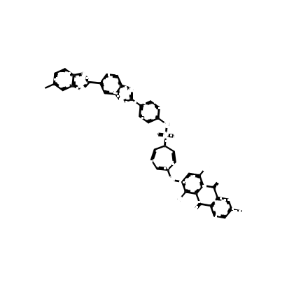 Cc1ccc2c(c1)C(=O)c1c(O)cc(OC3=CC=CC(S(=O)(=O)Nc4ccc(-c5nc6ccc(-c7nc8ccc(C)cc8s7)cc6s5)cc4)C=C3)c(N)c1C2=O